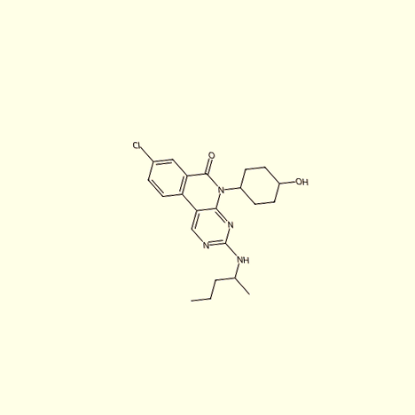 CCCC(C)Nc1ncc2c3ccc(Cl)cc3c(=O)n(C3CCC(O)CC3)c2n1